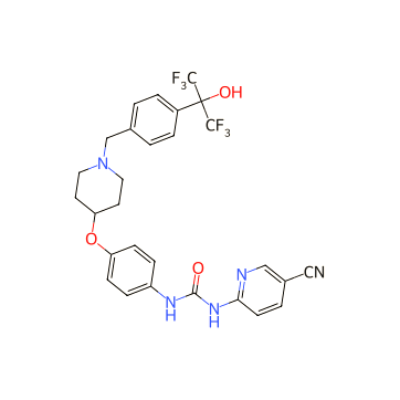 N#Cc1ccc(NC(=O)Nc2ccc(OC3CCN(Cc4ccc(C(O)(C(F)(F)F)C(F)(F)F)cc4)CC3)cc2)nc1